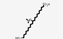 CN(C)OC(CCCCCCCCCC(=O)O)CCCCCCCCCC(=O)O